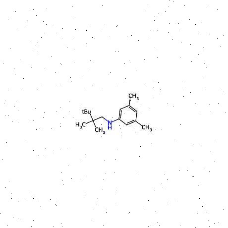 Cc1cc(C)cc(NCC(C)(C)C(C)(C)C)c1